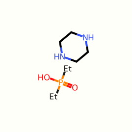 C1CNCCN1.CCP(=O)(O)CC